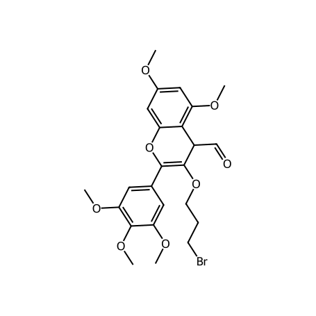 COc1cc(OC)c2c(c1)OC(c1cc(OC)c(OC)c(OC)c1)=C(OCCCBr)C2C=O